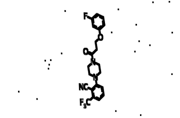 N#Cc1c(N2CCN(C(=O)CCOc3cccc(F)c3)CC2)cccc1C(F)(F)F